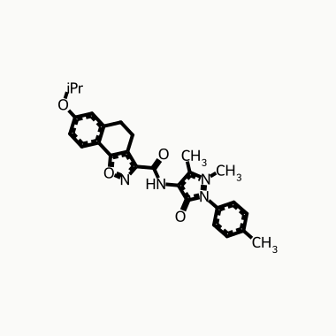 Cc1ccc(-n2c(=O)c(NC(=O)c3noc4c3CCc3cc(OC(C)C)ccc3-4)c(C)n2C)cc1